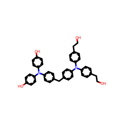 OCCc1ccc(N(c2ccc(CCO)cc2)c2ccc(Cc3ccc(N(c4ccc(O)cc4)c4ccc(O)cc4)cc3)cc2)cc1